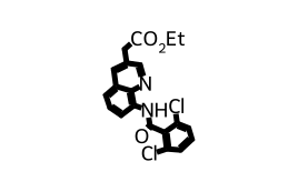 CCOC(=O)Cc1cnc2c(NC(=O)c3c(Cl)cccc3Cl)cccc2c1